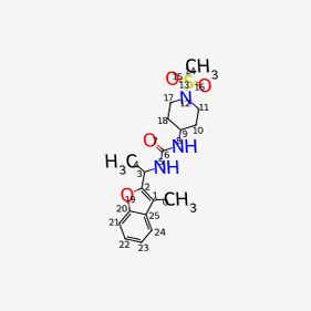 Cc1c(C(C)NC(=O)NC2CCN(S(C)(=O)=O)CC2)oc2ccccc12